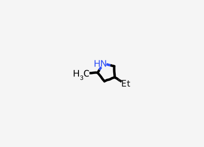 CCC1CNC(C)C1